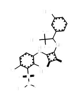 Cc1cccc(C(Nc2c(Nc3ccc(Cl)c(S(=O)(=O)N(C)C)c3O)c(=O)c2=O)C(C)(C)C)c1